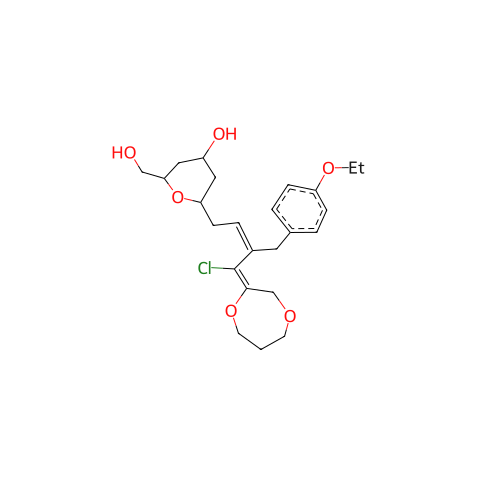 CCOc1ccc(CC(=C/CC2CC(O)CC(CO)O2)/C(Cl)=C2\COCCCO2)cc1